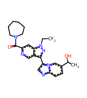 CC(O)c1ccc2ncc(-c3nn(CC(F)(F)F)c4cc(C(=O)N5CCCCCC5)ncc34)n2c1